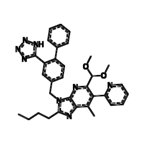 CCCCc1nc2c(C)c(-c3ccccn3)c(C(OC)OC)nc2n1Cc1ccc(-c2ccccc2)c(-c2nnn[nH]2)c1